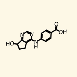 O=C(O)c1ccc(Nc2ncnc3c2CCC3O)cc1